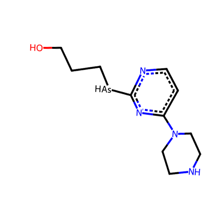 OCCC[AsH]c1nccc(N2CCNCC2)n1